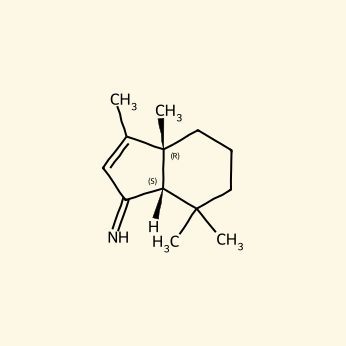 CC1=CC(=N)[C@H]2C(C)(C)CCC[C@@]12C